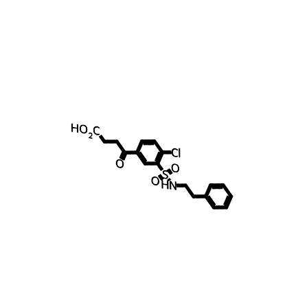 O=C(O)CCC(=O)c1ccc(Cl)c(S(=O)(=O)NCCc2ccccc2)c1